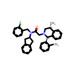 Cc1ccccc1[C@@H]1c2ccccc2[C@@H](C)CN1CC(=O)N(Cc1ccccc1F)C1Cc2ccccc2C1